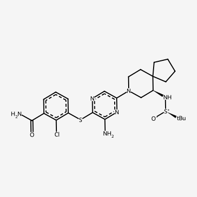 CC(C)(C)[S@@+]([O-])N[C@H]1CN(c2cnc(Sc3cccc(C(N)=O)c3Cl)c(N)n2)CCC12CCCC2